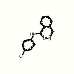 Clc1ccc(Nc2nn[c]c3ccccc23)cc1